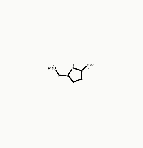 COC[C@@H]1CCC(OC)N1